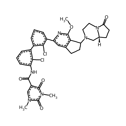 COc1nc(-c2cccc(-c3cccc(NC(=O)c4cn(C)c(=O)n(C)c4=O)c3Cl)c2Cl)cc2c1C(N1CCN3C(=O)CC[C@@H]3C1)CC2